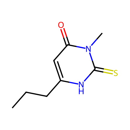 CCCc1cc(=O)n(C)c(=S)[nH]1